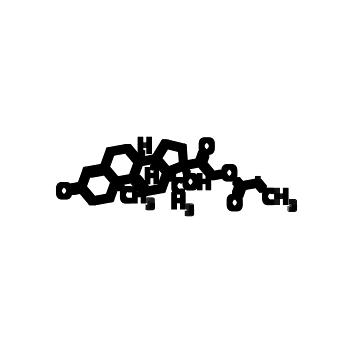 C[CH]C(=O)OCC(=O)[C@@]1(O)CC[C@H]2[C@@H]3CCC4=CC(=O)CCC4(C)C3=CCC21C